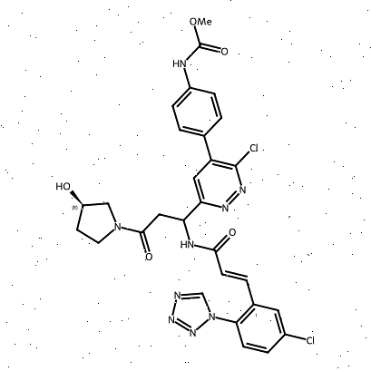 COC(=O)Nc1ccc(-c2cc(C(CC(=O)N3CC[C@@H](O)C3)NC(=O)C=Cc3cc(Cl)ccc3-n3cnnn3)nnc2Cl)cc1